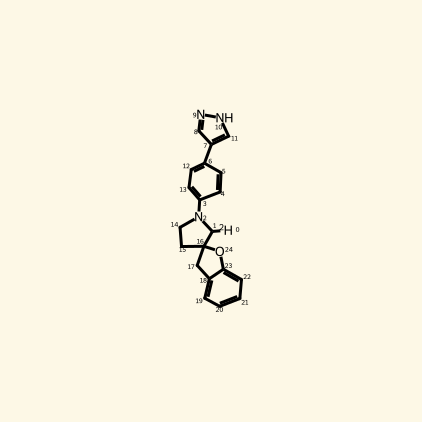 [2H]C1N(c2ccc(-c3cn[nH]c3)cc2)CCC12Cc1ccccc1O2